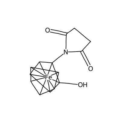 O=C1CCC(=O)N1[C]12[CH]3[CH]4[CH]5[C]1(O)[Fe]45321678[CH]2[CH]1[CH]6[CH]7[CH]28